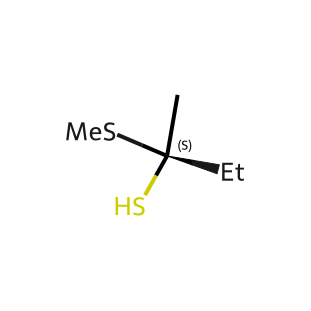 CC[C@@](C)(S)SC